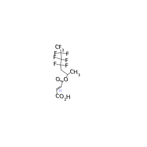 CC(CC(F)(F)C(F)(F)C(F)(F)C(F)(F)F)OC(=O)/C=C/C(=O)O